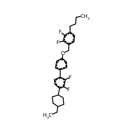 CCCCc1ccc(COc2ccc(-c3ccc(C4CCC(CC)CC4)c(F)c3F)cc2)c(F)c1F